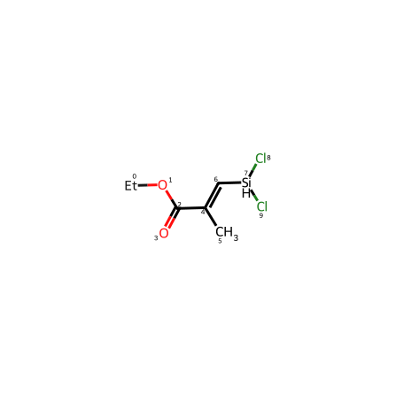 CCOC(=O)C(C)=C[SiH](Cl)Cl